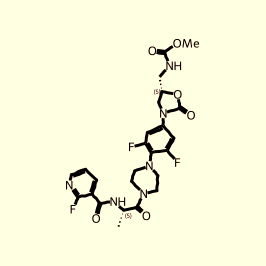 COC(=O)NC[C@H]1CN(c2cc(F)c(N3CCN(C(=O)[C@H](C)NC(=O)c4cccnc4F)CC3)c(F)c2)C(=O)O1